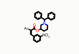 CC(=O)C(=Cc1cccc([N+](=O)[O-])c1)C(=O)OC1CCCN(C(c2ccccc2)c2ccccc2)C1